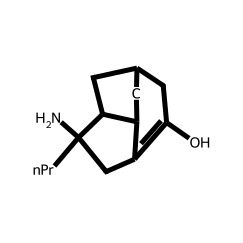 CCCC1(N)CC2=C(O)CC3CC2C1C3